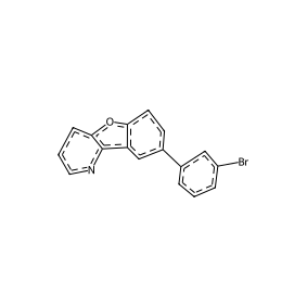 Brc1cccc(-c2ccc3oc4cccnc4c3c2)c1